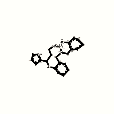 CNCCC(Oc1ccccc1CN(C)Cc1ccccc1O)c1cccs1